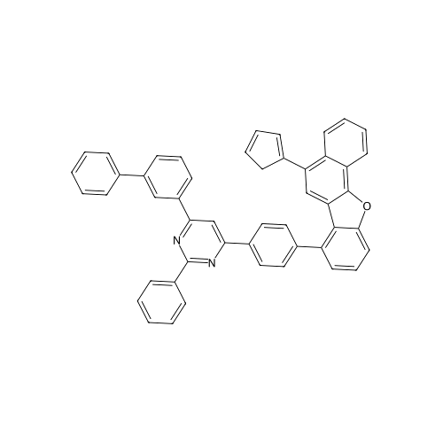 C1=CCC(c2cc3c(oc4cccc(-c5ccc(-c6cc(-c7cccc(-c8ccccc8)c7)nc(-c7ccccc7)n6)cc5)c43)c3ccccc23)=C1